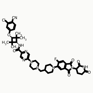 CC1(C)[C@H](NC(=O)c2cnc(N3CCN(CC4CCN(c5cc6c(cc5F)C(=O)N(C5CCC(=O)NC5=O)C6=O)CC4)CC3)cn2)C(C)(C)[C@H]1Oc1ccc(C#N)c(Cl)c1